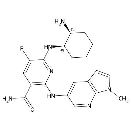 Cn1ccc2cc(Nc3nc(N[C@@H]4CCCC[C@@H]4N)c(F)cc3C(N)=O)cnc21